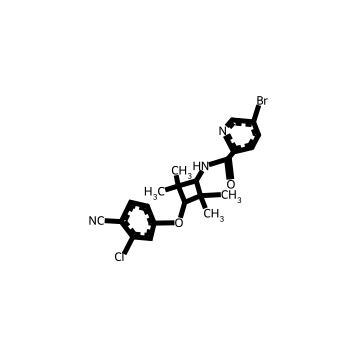 CC1(C)C(NC(=O)c2ccc(Br)cn2)C(C)(C)C1Oc1ccc(C#N)c(Cl)c1